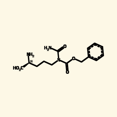 NC(=O)N(CCC[C@H](N)C(=O)O)C(=O)OCc1ccccc1